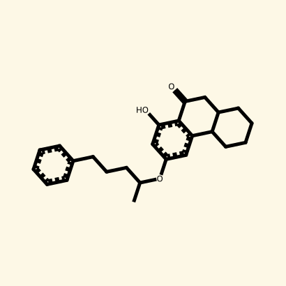 CC(CCCc1ccccc1)Oc1cc(O)c2c(c1)C1CCCCC1CC2=O